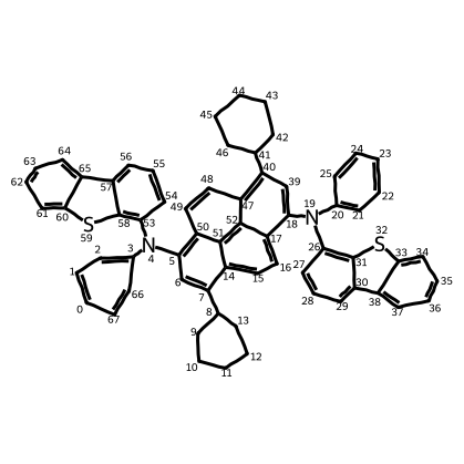 c1ccc(N(c2cc(C3CCCCC3)c3ccc4c(N(c5ccccc5)c5cccc6c5sc5ccccc56)cc(C5CCCCC5)c5ccc2c3c54)c2cccc3c2sc2ccccc23)cc1